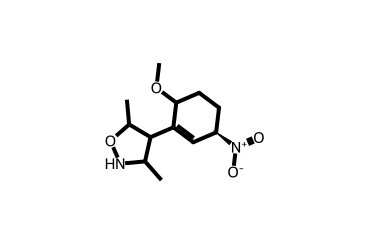 COC1CC[C@@H]([N+](=O)[O-])C=C1C1C(C)NOC1C